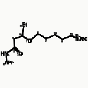 CC[CH]NC(=O)CC(CC)OCCCCCCCCCCCCCCC